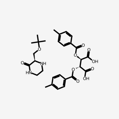 CC(C)(C)OC[C@H]1NCCNC1=O.Cc1ccc(C(=O)O[C@@H](C(=O)O)[C@@H](OC(=O)c2ccc(C)cc2)C(=O)O)cc1